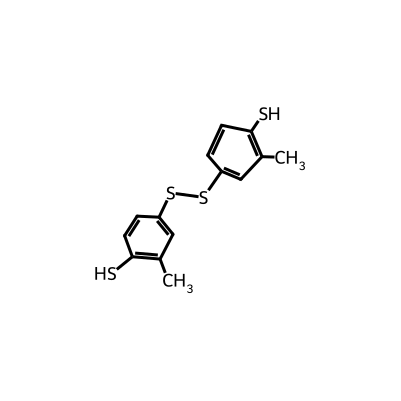 Cc1cc(SSc2ccc(S)c(C)c2)ccc1S